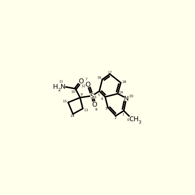 Cc1ccc2c(S(=O)(=O)C3(C(N)=O)CCC3)cccc2n1